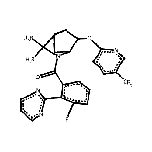 BC1(B)C2CC(Oc3ccc(C(F)(F)F)cn3)C(C2)N1C(=O)c1cccc(F)c1-c1ncccn1